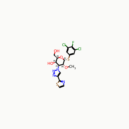 CO[C@@H]1[C@@H](n2cc(-c3nccs3)nn2)[C@@H](O)[C@@H](CO)O[C@@H]1Sc1cc(Cl)c(F)c(Cl)c1